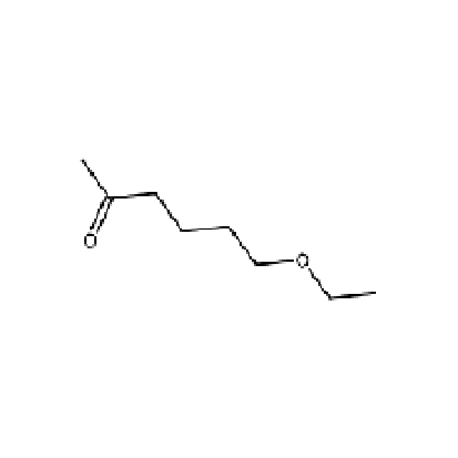 CCOCCCCC(C)=O